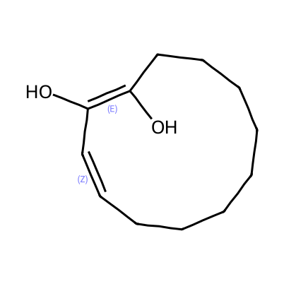 OC1=C(/O)CCCCCCCC/C=C\1